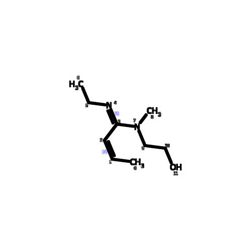 C/C=C\C(=N/CC)N(C)CCO